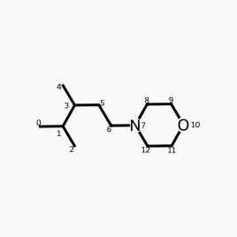 CC(C)C(C)CCN1CCOCC1